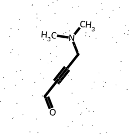 CN(C)CC#C[C]=O